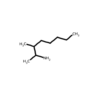 CCCCCC(C)C(C)N